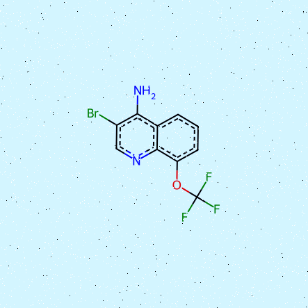 Nc1c(Br)cnc2c(OC(F)(F)F)cccc12